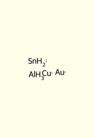 [AlH3].[Au].[Cu].[SnH2]